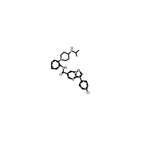 CC(C)NC1CCN(c2ccccc2NC(=O)c2cnc3c(-c4ccc(Cl)cc4)cnn3c2)CC1